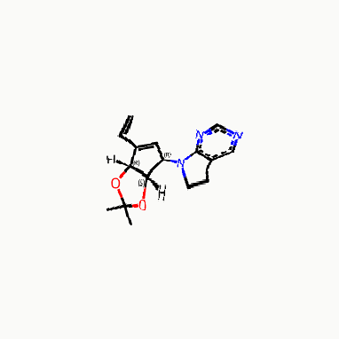 C=CC1=C[C@@H](N2CCc3cncnc32)[C@@H]2OC(C)(C)O[C@H]12